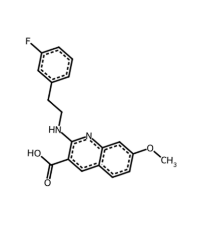 COc1ccc2cc(C(=O)O)c(NCCc3cccc(F)c3)nc2c1